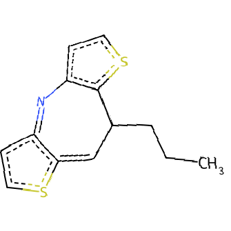 CCCC1C=c2sccc2=Nc2ccsc21